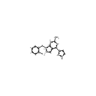 Nc1nc(-c2cc[nH]n2)c2cnn(Cc3ccccc3F)c2n1